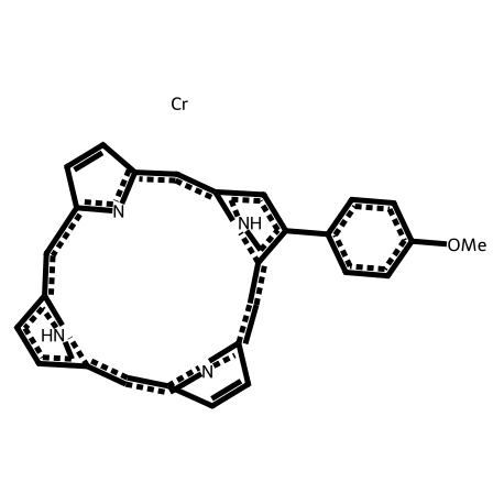 COc1ccc(-c2cc3cc4nc(cc5ccc(cc6nc(cc2[nH]3)C=C6)[nH]5)C=C4)cc1.[Cr]